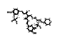 O=C(C=Cc1ccc(O)c(OC(F)(F)F)c1)C(CCOCCOC1CCOCC1)C(=O)C=Cc1ccc(O)c(OC(F)(F)F)c1